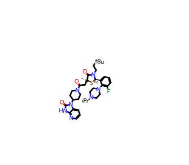 CC(C)N1CCN(c2c(F)cccc2[C@H]2S[C@@](C)(CC(=O)N3CCC(n4c(=O)[nH]c5ncccc54)CC3)C(=O)N2CCC(C)(C)C)CC1